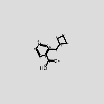 O=C(O)c1ccncc1CC1CCC1